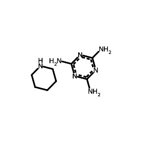 C1CCNCC1.Nc1nc(N)nc(N)n1